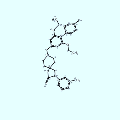 CCOc1cc(CN2CCC3(CC2)CN(c2cccc(C)c2)C(=O)O3)cc(OCC)c1-c1ccc(F)cc1